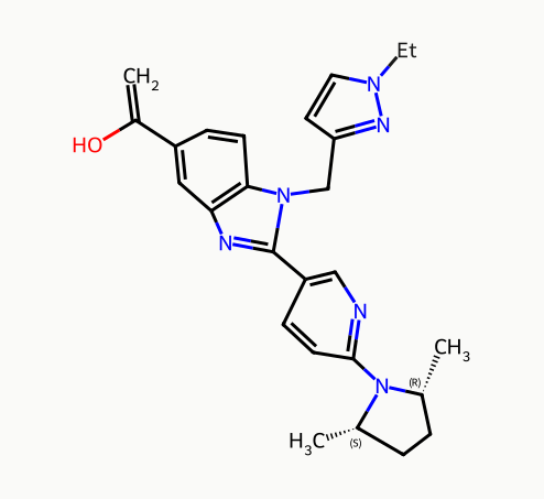 C=C(O)c1ccc2c(c1)nc(-c1ccc(N3[C@H](C)CC[C@@H]3C)nc1)n2Cc1ccn(CC)n1